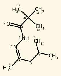 CC(CC(C)C)=NNC(=O)C(C)(C)C